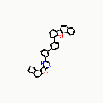 c1cc(-c2cccc(-c3cccc4c3oc3c5ccccc5ccc43)c2)cc(-c2cnc3oc4ccc5ccccc5c4c3n2)c1